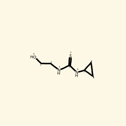 OCCNC(=S)NC1CC1